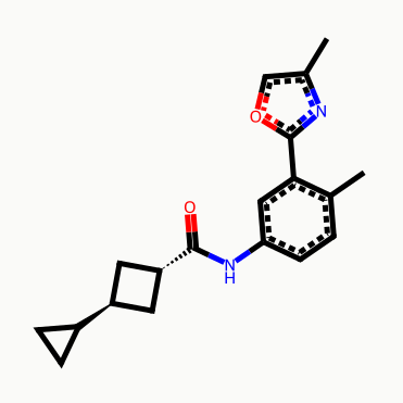 Cc1coc(-c2cc(NC(=O)[C@H]3C[C@H](C4CC4)C3)ccc2C)n1